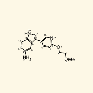 COCCOc1ccc(-c2n[nH]c3ccc(N)cc23)cn1